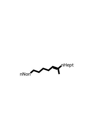 CCCCCCCCCCCCCC=C(C)CCCCCCC